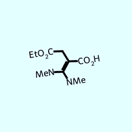 CCOC(=O)CC(C(=O)O)=C(NC)NC